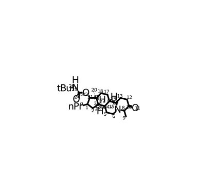 CCCC1C[C@H]2[C@@H]3CCN4C(C)C(=O)CC[C@]4(C)[C@@H]3CC[C@]2(C)C1OC(=O)NC(C)(C)C